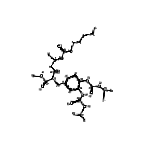 CCCCCOC(=O)OC(C)CN[C@@H](Cc1ccc(OC(=O)OC(C)C)c(OC(=O)OC(C)C)c1)C(=O)OC